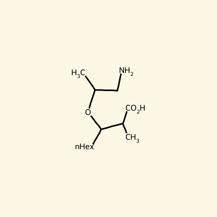 CCCCCCC(OC(C)CN)C(C)C(=O)O